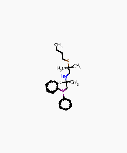 CCCCSC(C)(C)CNC(C)(C)CP(c1ccccc1)c1ccccc1